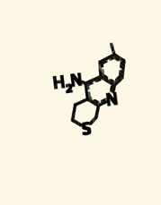 Cc1ccc2nc3c(c(N)c2c1)CCSC3